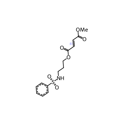 COC(=O)/C=C/C(=O)OCCCNS(=O)(=O)c1ccccc1